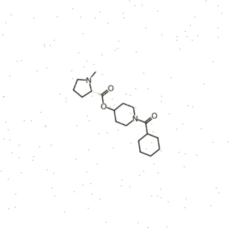 CN1CCC[C@H]1C(=O)OC1CCN(C(=O)C2CCCCC2)CC1